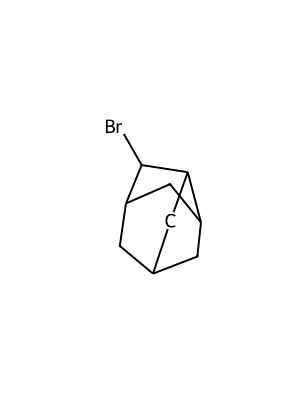 BrC1C2CC3CC(C2)C1C3